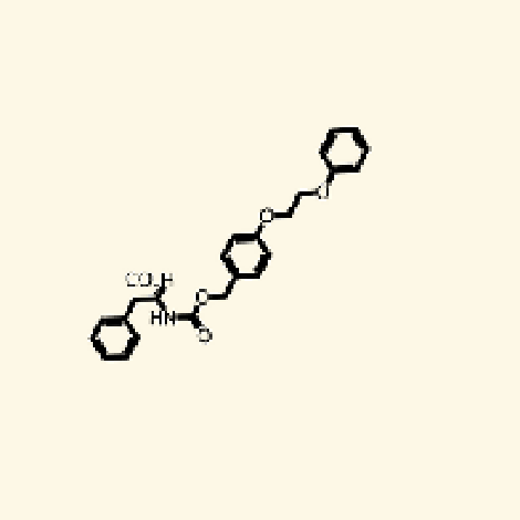 O=C(NC(Cc1ccccc1)C(=O)O)OCc1ccc(OCCOc2ccccc2)cc1